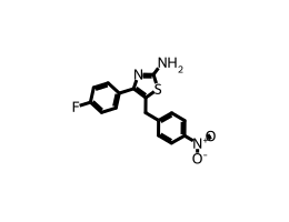 Nc1nc(-c2ccc(F)cc2)c(Cc2ccc([N+](=O)[O-])cc2)s1